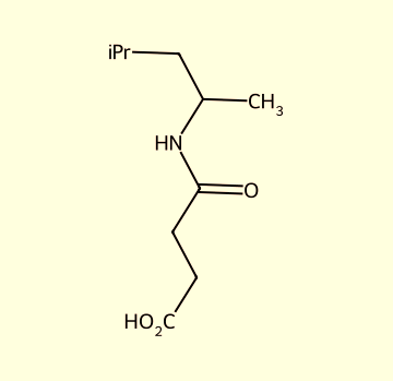 CC(C)CC(C)NC(=O)CCC(=O)O